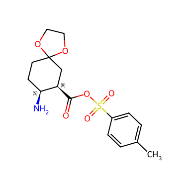 Cc1ccc(S(=O)(=O)OC(=O)[C@@H]2CC3(CC[C@@H]2N)OCCO3)cc1